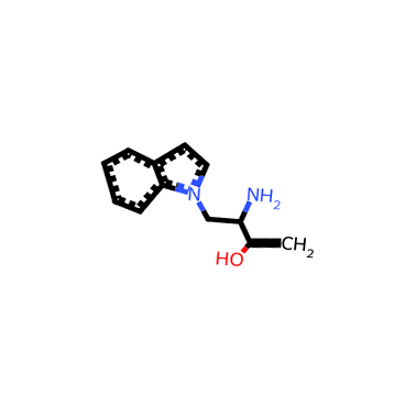 C=C(O)C(N)Cn1ccc2ccccc21